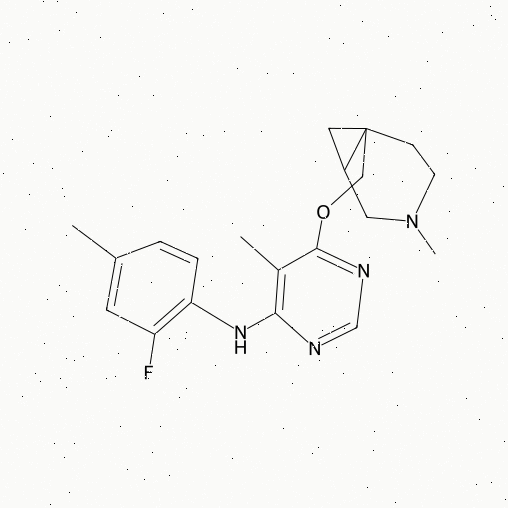 Cc1ccc(Nc2ncnc(OCC34CCN(C)CC3C4)c2C)c(F)c1